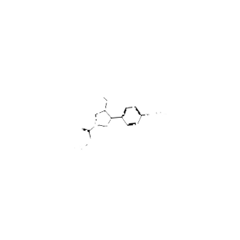 COc1ccc(C2CN(C(=O)OC(C)(C)C)CC2CO)cc1